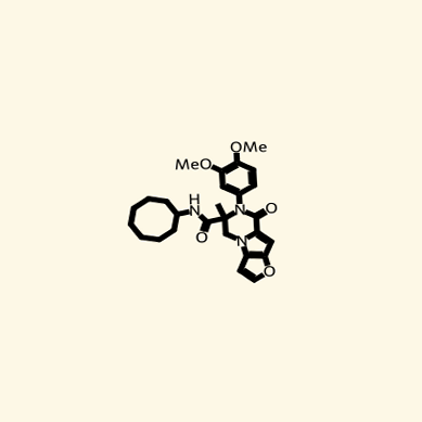 COc1ccc(N2C(=O)c3cc4occc4n3CC2(C)C(=O)NC2CCCCCCC2)cc1OC